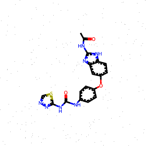 CC(=O)Nc1nc2cc(Oc3ccc(NC(=O)Nc4nncs4)cc3)ccc2[nH]1